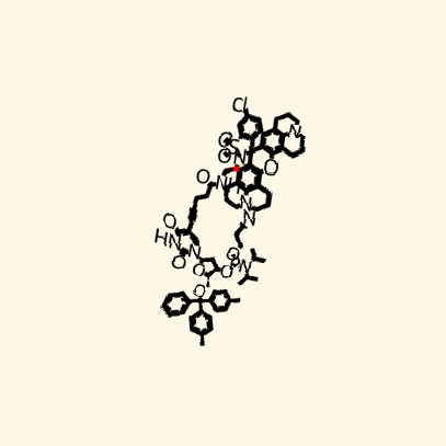 Cc1ccc(C(OC[C@H]2O[C@@H](n3cc(C#CCCC(=O)NCCN4C5(c6ccc(Cl)cc6S4(=O)=O)c4cc6c7c(c4Oc4c5cc5c8c4CCCN8CCC5)CCCN7CCC6)c(=O)[nH]c3=O)CC2OP(OCCC#N)N(C(C)C)C(C)C)(c2ccccc2)c2ccc(C)cc2)cc1